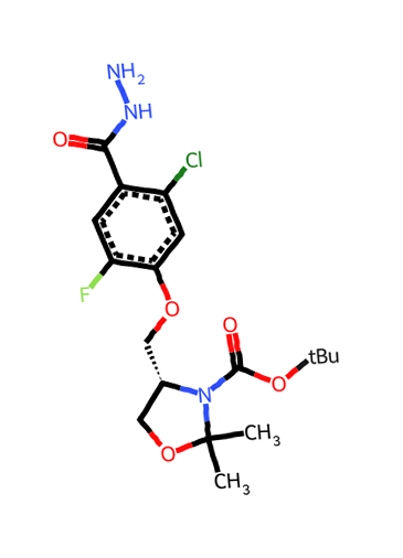 CC(C)(C)OC(=O)N1[C@@H](COc2cc(Cl)c(C(=O)NN)cc2F)COC1(C)C